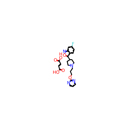 Fc1ccc2c(C3CCN(CCCOc4ncccn4)CC3)onc2c1.O=C(O)/C=C/C(=O)O